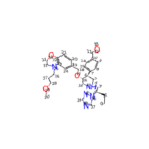 CC[C@H](C[C@H]1C[C@H](c2ccc(COC)cc2)[C@@H](OCc2ccc3c(c2)N(CCCOC)CCO3)CN1)n1cncn1